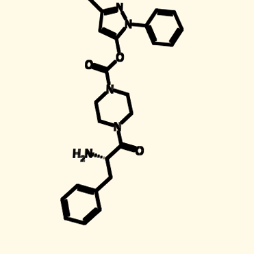 Cc1cc(OC(=O)N2CCN(C(=O)[C@@H](N)Cc3ccccc3)CC2)n(-c2ccccc2)n1